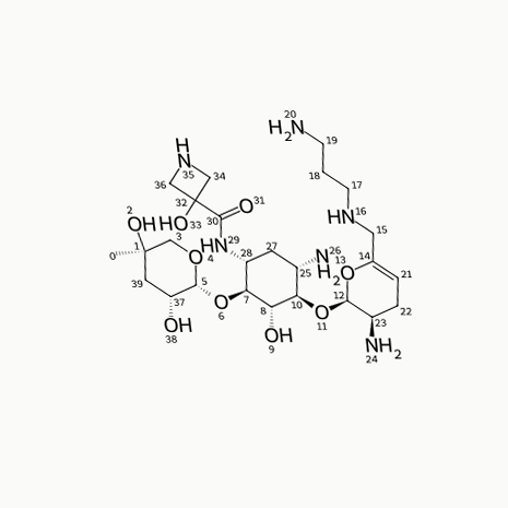 C[C@]1(O)CO[C@H](O[C@@H]2[C@@H](O)[C@H](O[C@H]3OC(CNCCCN)=CC[C@H]3N)[C@@H](N)C[C@H]2NC(=O)C2(O)CNC2)[C@H](O)C1